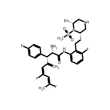 C=C(/C=C(F)\C=C(/C)F)[C@H](c1ccc(F)cc1)[C@H](N)C(=O)Nc1cccc(F)c1CC[C@H]1CNC[C@@H](CC)N1S(C)(=O)=O